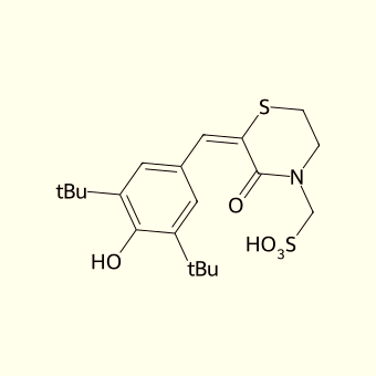 CC(C)(C)c1cc(/C=C2/SCCN(CS(=O)(=O)O)C2=O)cc(C(C)(C)C)c1O